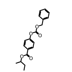 CCC(C)OC(=O)c1ccc(OC(=O)OCc2ccccc2)cc1